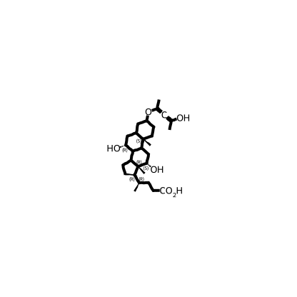 CC(O)=C=C(C)OC1CC[C@@]2(C)C(C1)C[C@@H](O)C1C2C[C@H](O)[C@@]2(C)C1CC[C@@H]2[C@H](C)CCC(=O)O